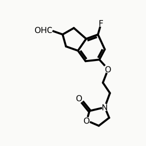 O=CC1Cc2cc(OCCN3CCOC3=O)cc(F)c2C1